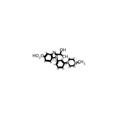 CC(O)c1nc2cc(C(=O)O)ccc2n1-c1cccc(N2CCN(C)CC2)c1